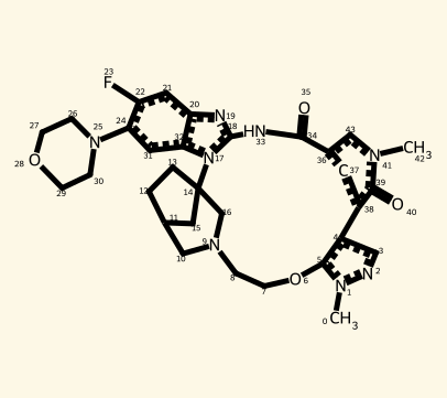 Cn1ncc2c1OCCN1CC3CCC(C3)(C1)n1c(nc3cc(F)c(N4CCOCC4)cc31)NC(=O)c1cc-2c(=O)n(C)c1